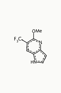 COc1nc2cc[nH]c2cc1C(F)(F)F